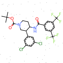 CC(C)(C)OC(=O)N1CCC(NC(=O)c2cc(C(F)(F)F)cc(C(F)(F)F)c2)C(c2cc(Cl)cc(Cl)c2)C1